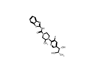 CC1CN(C(=O)Nc2nc3ccccc3s2)CCN1c1ncc([C@H](O)[C@H](C)O)cc1F